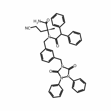 C[C@@](CCC#N)(C(N)=O)N(Cc1cccc(Cn2c(=O)n(-c3ccccc3)n(-c3ccccc3)c2=O)c1)C(=O)C(c1ccccc1)c1ccccc1